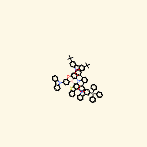 CC(C)(C)c1ccc2c(c1)c1cc(C(C)(C)C)ccc1n2-c1cc2c3c(c1)N(c1c(-c4ccccc4)cccc1-c1ccccc1)c1cc(-n4c5ccccc5c5cc([Si](c6ccccc6)(c6ccccc6)c6ccccc6)ccc54)c4c(sc5ccccc54)c1B3c1ccc(-n3c4ccccc4c4ccccc43)cc1O2